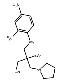 CCCC(CO)(CNc1ccc([N+](=O)[O-])cc1C(F)(F)F)CN1CCCC1